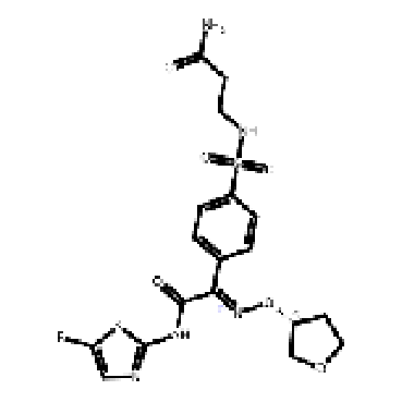 NC(=O)CCNS(=O)(=O)c1ccc(/C(=N\O[C@@H]2CCOC2)C(=O)Nc2ncc(F)s2)cc1